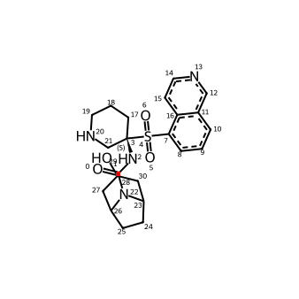 O=C(N[C@]1(S(=O)(=O)c2cccc3cnccc23)CCCNC1)N1C2CCC1CC(O)C2